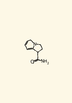 NC(=O)C1CCN2CC=CC=C12